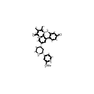 COc1cc([C@H]2C[C@@H](c3cc(-c4ccc(Cl)cc4F)c4nc(C)c(C)c(=O)n4c3)CCO2)ccn1